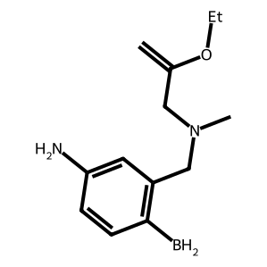 Bc1ccc(N)cc1CN(C)CC(=C)OCC